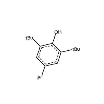 [CH2]C(C)c1cc(C(C)(C)C)c(O)c(C(C)(C)C)c1